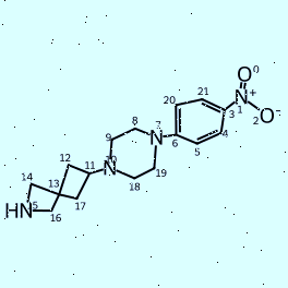 O=[N+]([O-])c1ccc(N2CCN(C3CC4(CNC4)C3)CC2)cc1